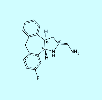 NC[C@@H]1C[C@@H]2c3ccccc3Cc3ccc(F)cc3[C@H]2N1